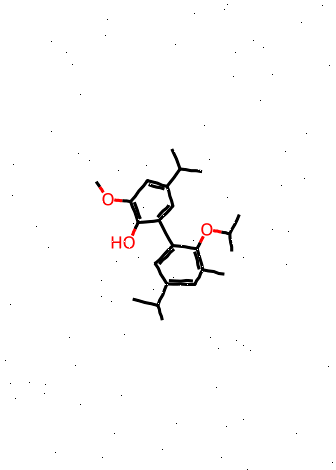 COc1cc(C(C)C)cc(-c2cc(C(C)C)cc(C)c2OC(C)C)c1O